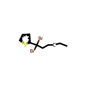 CCCCCC(Br)(Br)c1cccs1